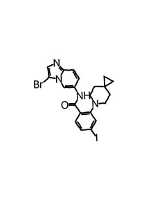 O=C(Nc1ccc2ncc(Br)n2c1)c1ccc(I)cc1N1CCC2(CC1)CC2